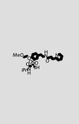 COCCOc1ccc(CCNC(=O)/C=C/c2ccccn2)cc1S(=O)(=O)N(S)C(=O)NC(C)C